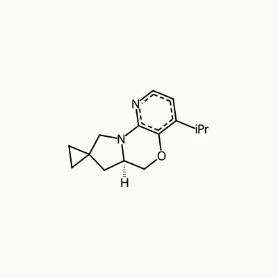 CC(C)c1ccnc2c1OC[C@H]1CC3(CC3)CN21